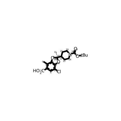 Cc1c(C(=O)O)cc(Cl)c2c1O[C@@](C)(C1CCN(C(=O)OC(C)(C)C)CC1)O2